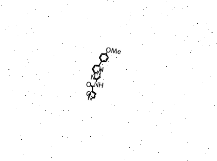 COc1ccc(-c2ccc3nc(NC(=O)c4ccno4)cn3n2)cc1